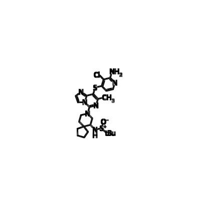 Cc1nc(N2CCC3(CCCC3)C(N[S+]([O-])C(C)(C)C)C2)n2ccnc2c1Sc1ccnc(N)c1Cl